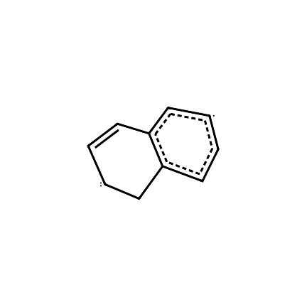 [C]1C=Cc2c[c]ccc2C1